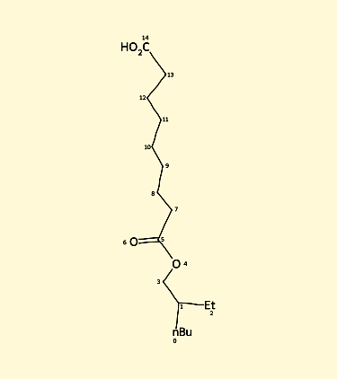 CCCCC(CC)COC(=O)CCCCCCCC(=O)O